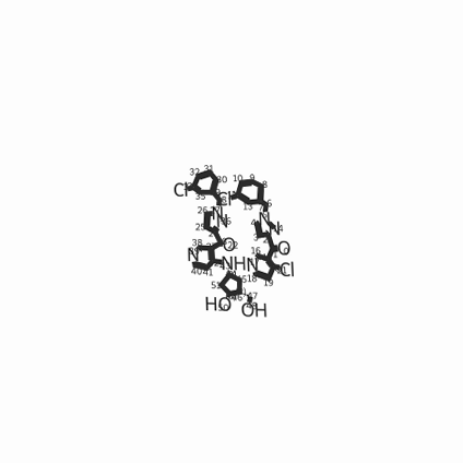 O=C(c1ccn(Cc2cccc(Cl)c2)n1)c1cnccc1Cl.O=C(c1ccn(Cc2cccc(Cl)c2)n1)c1cnccc1N[C@@H]1C[C@H](CO)[C@@H](O)C1